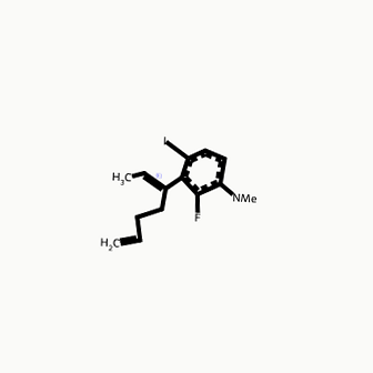 C=CCC/C(=C\C)c1c(I)ccc(NC)c1F